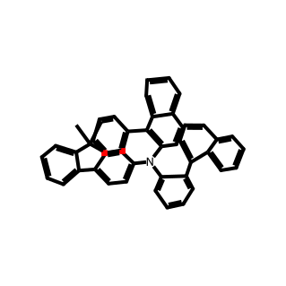 CC1(C)c2ccccc2-c2ccc(N(c3ccccc3-c3cccc4ccccc34)c3ccc4ccccc4c3-c3ccccc3)cc21